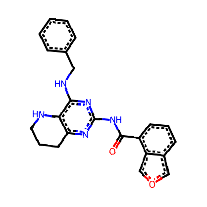 O=C(Nc1nc2c(c(NCc3ccccc3)n1)NCCC2)c1cccc2cocc12